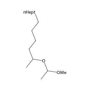 CCCCCCCCCCCC(C)OC(C)OC